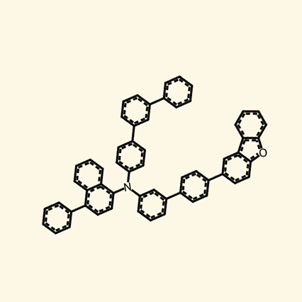 c1ccc(-c2cccc(-c3ccc(N(c4cccc(-c5ccc(-c6ccc7oc8ccccc8c7c6)cc5)c4)c4ccc(-c5ccccc5)c5ccccc45)cc3)c2)cc1